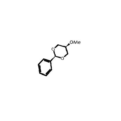 CO[C@H]1CO[C@@H](c2ccccc2)OC1